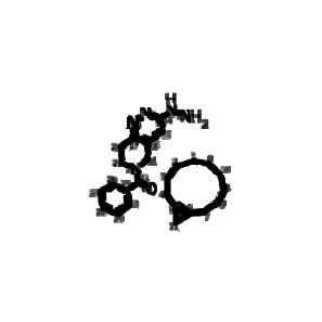 C1CCCCC2=C(CCCC1)C2.NNc1cc2c(nn1)CCN(C(=O)c1ccccc1)C2